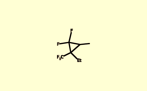 CCC1(C(F)(F)F)C(C)C1(F)F